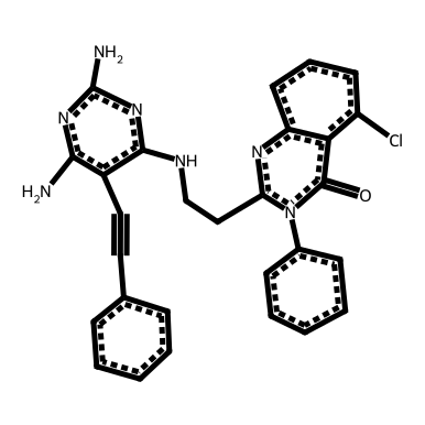 Nc1nc(N)c(C#Cc2ccccc2)c(NCCc2nc3cccc(Cl)c3c(=O)n2-c2ccccc2)n1